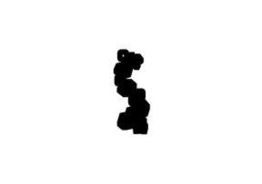 CCC(C)(CC)Oc1ccccc1Cc1ccccc1OC(=O)c1ccc(Oc2ccc(C(=O)C(C)(CC)CC)cc2)cc1